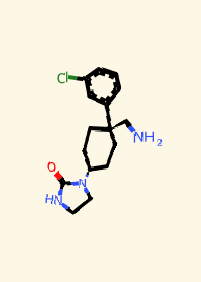 NC[C@]1(c2cccc(Cl)c2)CC[C@@H](N2CCNC2=O)CC1